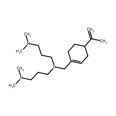 C=C(C)C1CC=C(CN(CCCN(C)C)CCCN(C)C)CC1